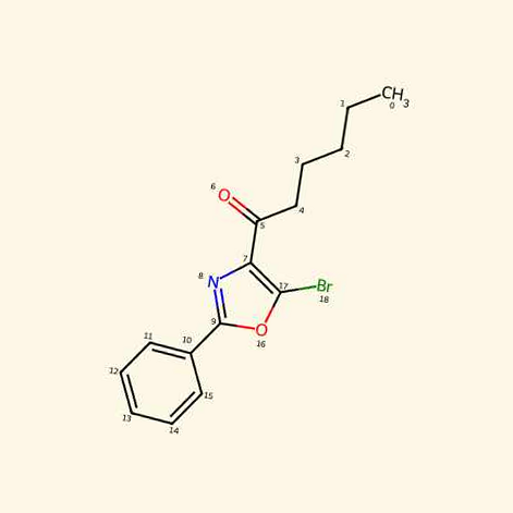 CCCCCC(=O)c1nc(-c2ccccc2)oc1Br